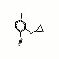 N#Cc1ccc(Cl)cc1OC1CC1